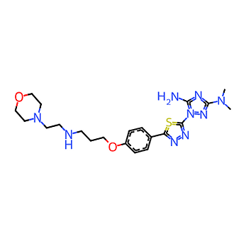 CN(C)c1nc(N)n(-c2nnc(-c3ccc(OCCCNCCN4CCOCC4)cc3)s2)n1